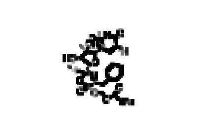 [2H]c1cn([C@@H]2O[C@H](C([2H])([2H])OP(=O)(NCc3ccccc3)OCOC(=O)C(C)(C)C)[C@@H](O)[C@@]2(C)O)c(=O)[nH]c1=O